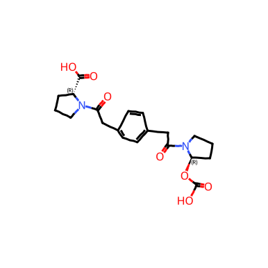 O=C(O)O[C@@H]1CCCN1C(=O)Cc1ccc(CC(=O)N2CCC[C@@H]2C(=O)O)cc1